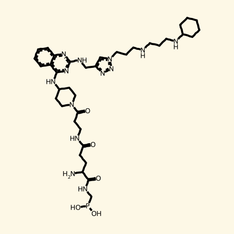 NC(CCC(=O)NCCC(=O)N1CCC(Nc2nc(NCc3cn(CCCNCCCNC4CCCCC4)nn3)nc3ccccc23)CC1)C(=O)NCP(O)O